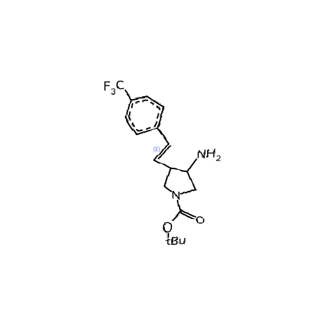 CC(C)(C)OC(=O)N1CC(N)C(/C=C/c2ccc(C(F)(F)F)cc2)C1